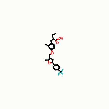 CCC(Cc1ccc(OCc2cc(-c3ccc(C(F)(F)F)cc3)oc2C)cc1C)C(=O)O